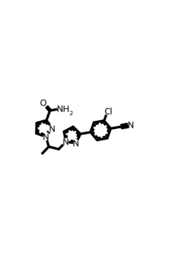 CC(Cn1ccc(-c2ccc(C#N)c(Cl)c2)n1)n1ccc(C(N)=O)n1